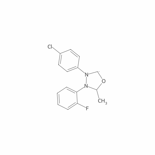 CC1O[CH]N(c2ccc(Cl)cc2)N1c1ccccc1F